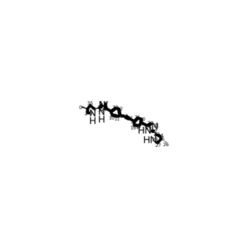 C[C@@H]1CN[C@H](c2ncc(-c3ccc(C#Cc4ccc(-c5cnc([C@@H]6C[C@H](C)CN6)[nH]5)cc4)cc3)[nH]2)C1